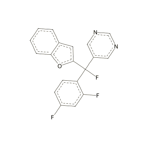 Fc1ccc(C(F)(c2cncnc2)c2cc3ccccc3o2)c(F)c1